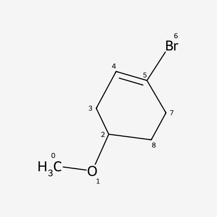 COC1CC=C(Br)CC1